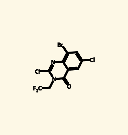 O=c1c2cc(Cl)cc(Br)c2nc(Cl)n1CC(F)(F)F